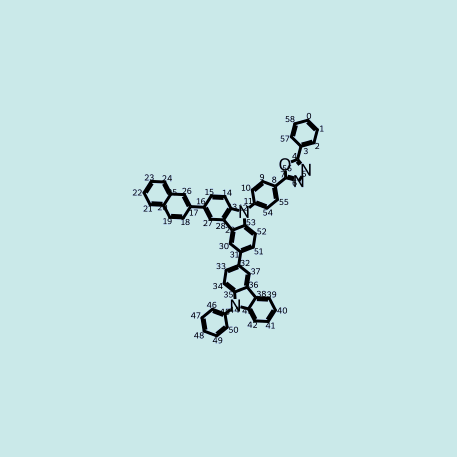 c1ccc(-c2nnc(-c3ccc(-n4c5ccc(-c6ccc7ccccc7c6)cc5c5cc(-c6ccc7c(c6)c6ccccc6n7-c6ccccc6)ccc54)cc3)o2)cc1